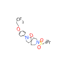 CC(C)CS(=O)(=O)N1CCC2(CCN(c3ccc(OCCC(F)(F)F)cc3)C2=O)CC1